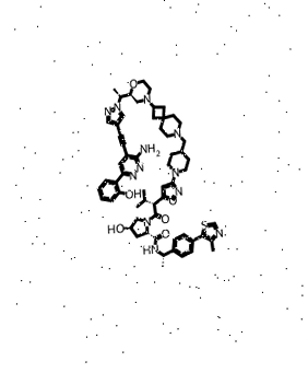 Cc1ncsc1-c1ccc([C@H](C)NC(=O)[C@@H]2C[C@@H](O)CN2C(=O)[C@@H](c2cc(N3CCC(CN4CCC5(CC4)CC(N4CCO[C@H]([C@H](C)n6cc(C#Cc7cc(-c8ccccc8O)nnc7N)cn6)C4)C5)CC3)no2)C(C)C)cc1